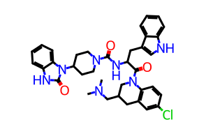 CN(C)CC1Cc2cc(Cl)ccc2N(C(=O)C(Cc2c[nH]c3ccccc23)NC(=O)N2CCC(n3c(=O)[nH]c4ccccc43)CC2)C1